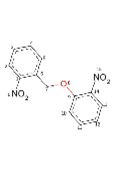 O=[N+]([O-])c1ccccc1COc1ccccc1[N+](=O)[O-]